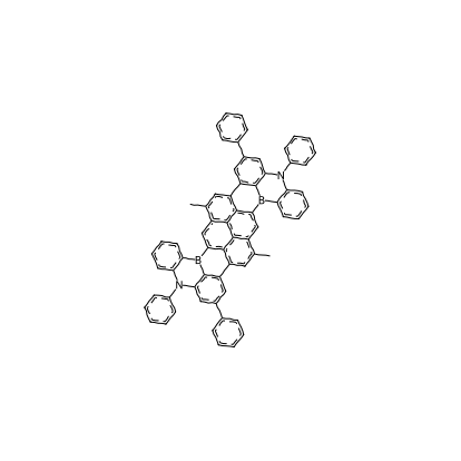 Cc1cc2c3c(cc4c(C)cc5c6c(cc1c3c46)B1c3ccccc3N(c3ccccc3)c3cc(-c4ccccc4)cc-5c31)B1c3ccccc3N(c3ccccc3)c3cc(-c4ccccc4)cc-2c31